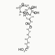 C/C(=C\C(=O)OCCCCCCCCC(=O)O)C[C@@H]1OC[C@H](C[C@@H]2O[C@H]2[C@@H](C)[C@@H](C)O)[C@@H](O)[C@H]1O